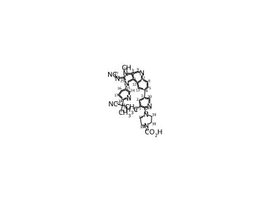 Cc1cc(-c2ccc3ncc4c(c3c2)n(-c2ccc(C(C)(C)C#N)nc2)c(=NC#N)n4C)cnc1N1CCN(C(=O)O)CC1